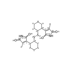 CC1=C(C2CCCCC2SSC2CCCCC2C2=C(C)C(=O)NC2=O)C(=O)NC1=O